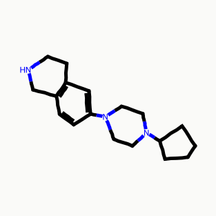 c1cc2c(cc1N1CCN(C3CCCC3)CC1)CCNC2